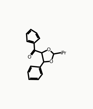 CC(C)C1OC(C(=O)c2ccccc2)C(c2ccccc2)O1